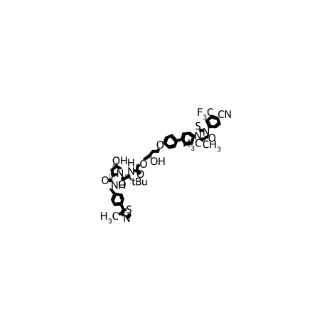 Cc1ncsc1-c1ccc(CNC(=O)[C@@H]2C[C@@H](O)CN2C(=O)[C@@H](NC(=O)COC[C@H](O)CCOc2ccc(-c3ccc(N4C(=S)N(c5ccc(C#N)c(C(F)(F)F)c5)C(=O)C4(C)C)cc3)cc2)C(C)(C)C)cc1